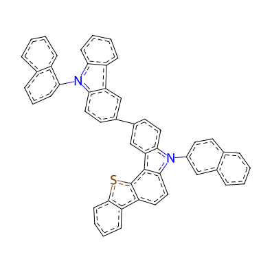 c1ccc2cc(-n3c4ccc(-c5ccc6c(c5)c5ccccc5n6-c5cccc6ccccc56)cc4c4c5sc6ccccc6c5ccc43)ccc2c1